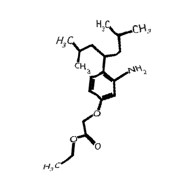 CCOC(=O)COc1ccc(C(CC(C)C)CC(C)C)c(N)c1